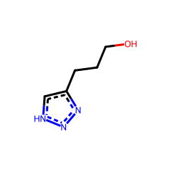 OCCCc1c[nH]nn1